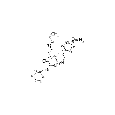 CCCOCCn1c(=O)c(NCC2CCCCC2)nc2ncc(-c3ccc(OC)nc3)cc21